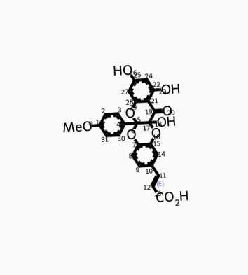 COc1ccc(C23Oc4ccc(/C=C/C(=O)O)cc4OC2(O)C(=O)c2c(O)cc(O)cc2O3)cc1